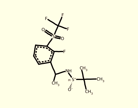 CC(N[S@@+]([O-])C(C)(C)C)c1cccc(S(=O)(=O)C(F)(F)F)c1F